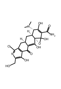 CN(C)[C@@H]1C(O)=C(C(N)=O)C2(O)O[C@@]23C(O)=C2C(=O)c4c(O)c(CO)nc(Cl)c4C[C@H]2C[C@@H]13